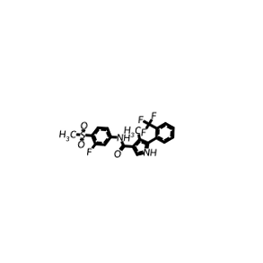 Cc1c(C(=O)Nc2ccc(S(C)(=O)=O)c(F)c2)c[nH]c1-c1ccccc1C(F)(F)F